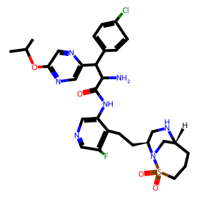 CC(C)Oc1cnc(C(c2ccc(Cl)cc2)C(N)C(=O)Nc2cncc(F)c2CC[C@H]2CN[C@@H]3CCCS(=O)(=O)N2C3)cn1